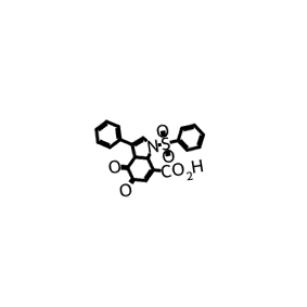 O=C(O)C1=CC(=O)C(=O)C2C(c3ccccc3)=CN(S(=O)(=O)c3ccccc3)C12